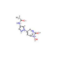 CC(=O)Nc1cnn(C2=CC3CN(C2)C(=O)N3O)c1